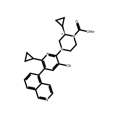 COC(=O)N1CCN(c2nc(C3CC3)c(-c3cccc4cnccc34)cc2C#N)C[C@H]1C1CC1